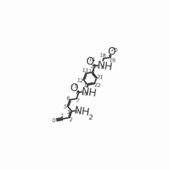 C#C/C=C(N)\C=C/CC(=O)Nc1ccc(C(=O)NCC=O)cc1